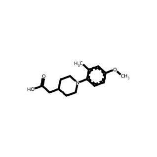 COc1ccc(N2CCC(CC(=O)O)CC2)c(C)c1